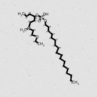 CCCCCCCCCCCCCCCCCCOP(=O)(O)OC(CCC)CCN(C)CCOCC